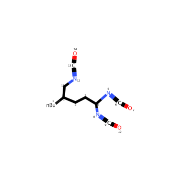 CCCCC(CCC(N=C=O)N=C=O)CN=C=O